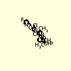 CC1=CC(OCc2ccc(F)cn2)=C(Cl)CN1c1cc(-n2cccc(C(C)(C)O)c2=O)ncc1C